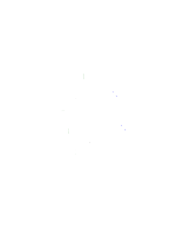 FC(F)(F)C1=NCN=C1C(F)(F)F